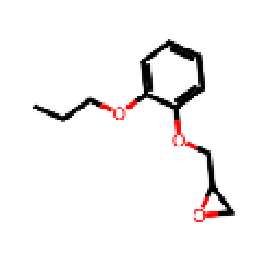 CCCOc1ccccc1OCC1CO1